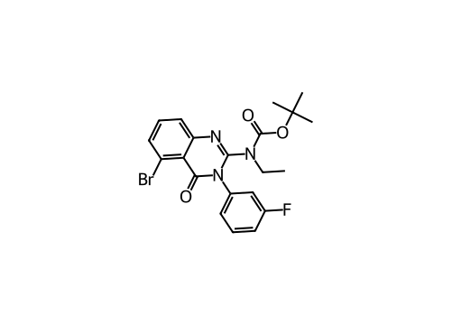 CCN(C(=O)OC(C)(C)C)c1nc2cccc(Br)c2c(=O)n1-c1cccc(F)c1